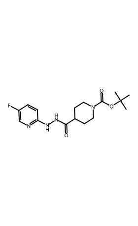 CC(C)(C)OC(=O)N1CCC(C(=O)NNc2ccc(F)cn2)CC1